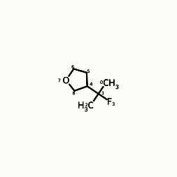 CC(C)(F)C1CCOC1